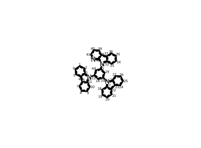 c1ccc2c(c1)c1ccccc1n2-c1cc(-n2c3ccccc3c3ccccc32)cc(-n2c3ccccc3c3cccnc32)c1